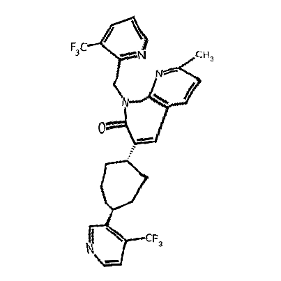 Cc1ccc2cc([C@H]3CC[C@H](c4cnccc4C(F)(F)F)CC3)c(=O)n(Cc3ncccc3C(F)(F)F)c2n1